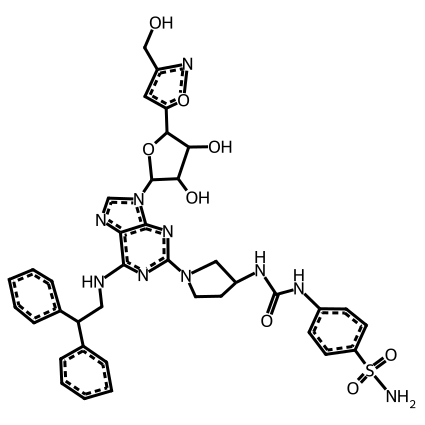 NS(=O)(=O)c1ccc(NC(=O)NC2CCN(c3nc(NCC(c4ccccc4)c4ccccc4)c4ncn(C5OC(c6cc(CO)no6)C(O)C5O)c4n3)C2)cc1